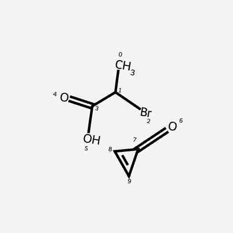 CC(Br)C(=O)O.O=c1cc1